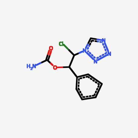 NC(=O)OC(c1ccccc1)C(Cl)n1cnnn1